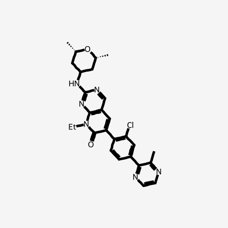 CCn1c(=O)c(-c2ccc(-c3nccnc3C)cc2Cl)cc2cnc(NC3C[C@@H](C)O[C@@H](C)C3)nc21